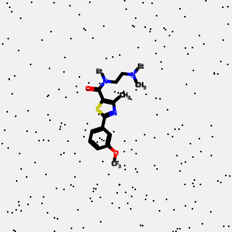 CCN(C)CCN(CC)C(=O)c1sc(-c2cccc(OC(F)(F)F)c2)nc1C